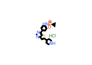 Cl.O=S(=O)(Nc1ccc(-c2ncnc3cc(C4=CCNCC4)sc23)cc1)C1CC1